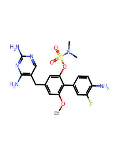 CCOc1cc(Cc2cnc(N)nc2N)cc(OS(=O)(=O)N(C)C)c1-c1ccc(N)c(F)c1